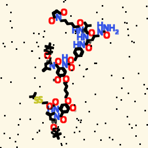 C=C1C[C@@H](CO[Si](C)(C)C(C)(C)C)N(C(=O)c2cc(OC)c(OCCCCCOc3cc(NC(=O)OCc4ccc(NC(=O)[C@H](CCCNC(N)=O)NC(=O)[C@@H](NC(=O)CCCCCN5C(=O)C=CC5=O)C(C)C)cc4)c(C(=O)N4CC(=C)C[C@H]4CO[Si](C)(C)C(C)(C)C)cc3OC)cc2NC(=O)OCCSSC(C)C)C1